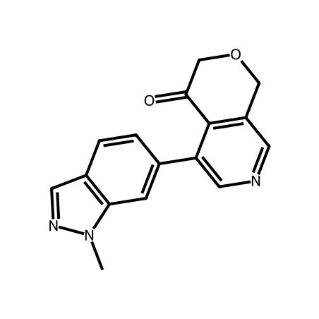 Cn1ncc2ccc(-c3cncc4c3C(=O)COC4)cc21